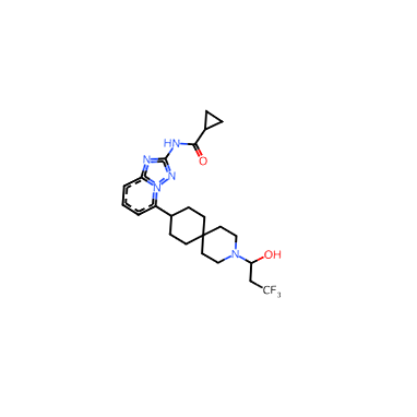 O=C(Nc1nc2cccc(C3CCC4(CC3)CCN(C(O)CC(F)(F)F)CC4)n2n1)C1CC1